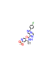 CC[C@H](NC(=O)c1nccn2c(-c3ccc(F)cc3)ncc12)c1ccnc(S(C)(=O)=O)c1